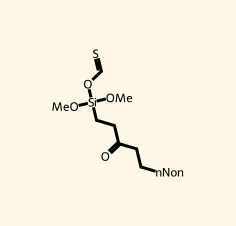 CCCCCCCCCCCC(=O)CC[Si](OC)(OC)OC=S